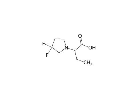 CCC(C(=O)O)N1CCC(F)(F)C1